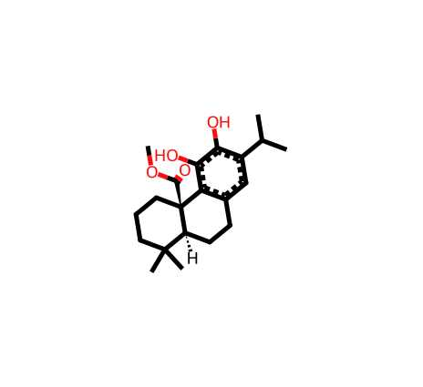 COC(=O)[C@]12CCCC(C)(C)[C@@H]1CCc1cc(C(C)C)c(O)c(O)c12